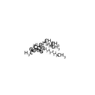 CCCCCCCCCCOc1c(OCC=C(C)CCC=C(C)C)c2cccc(OC(C)=O)c2oc1=O